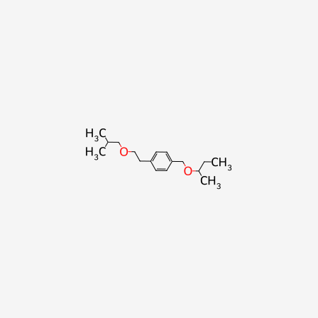 CCC(C)OCc1ccc(CCOCC(C)C)cc1